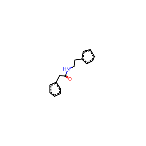 O=C(Cc1ccccc1)NCCc1cc[c]cc1